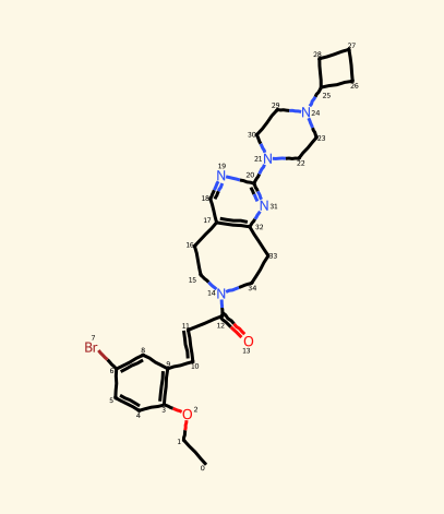 CCOc1ccc(Br)cc1C=CC(=O)N1CCc2cnc(N3CCN(C4CCC4)CC3)nc2CC1